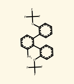 FC(F)(F)Oc1ccccc1-c1cccc(P)c1-c1ccccc1OC(F)(F)F